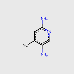 N#Cc1cc(N)ncc1N